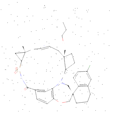 COCCO[C@H]1/C=C/C[C@H]2C[C@@H]2S(=O)(=O)NC(=O)c2ccc3c(c2)N(C[C@@H]2CC[C@H]21)C[C@@]1(CCCc2cc(Cl)ccc21)CO3